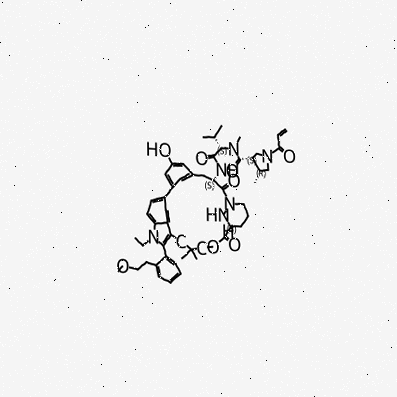 C=CC(=O)N1C[C@H](C)[C@H](C(=O)N(C)[C@H](C(=O)N[C@H]2Cc3cc(O)cc(c3)-c3ccc4c(c3)c(c(-c3ccccc3CCOC)n4CC)CC(C)(C)COC(=O)[C@@H]3CCCN(N3)C2=O)C(C)C)C1